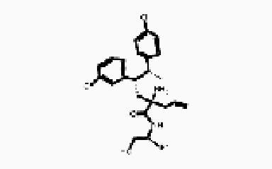 C=CC[C@@](N)(C[C@H](c1cccc(Cl)c1)[C@@H](C)c1ccc(Cl)cc1)C(=O)N[C@H](CO)C(C)C